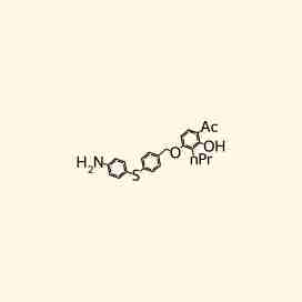 CCCc1c(OCc2ccc(Sc3ccc(N)cc3)cc2)ccc(C(C)=O)c1O